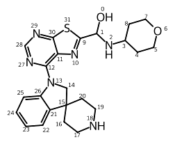 OC(NC1CCOCC1)c1nc2c(N3CC4(CCNCC4)c4ccccc43)ncnc2s1